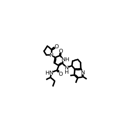 CCC(C)NC(=O)c1cc(N2CCCC2=O)c(=O)[nH]c1NC1CCCc2nc(C)c(C)c(C)c21